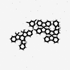 Cc1cc(C)cc(N(c2ccc3c(c2)C(C)(C)c2c4c(c5c(oc6ccccc65)c2-3)-c2ccccc2C4(C)C)c2ccc3c(c2)C2(c4ccccc4-c4ccccc42)c2cc4c(cc2-3)C2(c3ccccc3-c3ccccc32)c2ccc3oc5ccccc5c3c2-4)c1